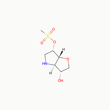 CS(=O)(=O)O[C@H]1CN[C@H]2[C@H]1OC[C@@H]2O